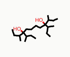 CCC(C)C(O)(CCCCC(O)(C(C)CC)C(C)CC)C(C)CC